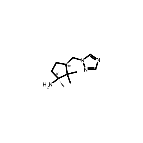 CC1(C)[C@H](Cn2cncn2)CC[C@]1(C)N